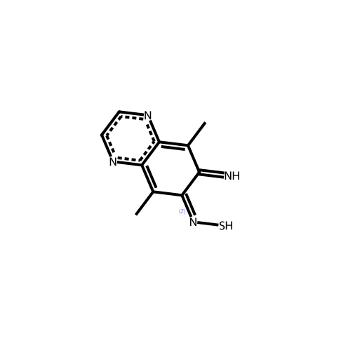 CC1=c2nccnc2=C(C)/C(=N/S)C1=N